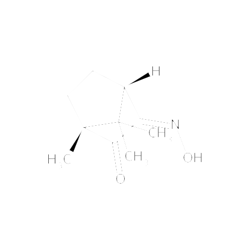 CC1(C)[C@@H]2CC[C@@]1(C)C(=O)/C2=N\O